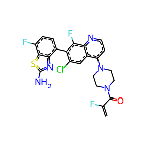 C=C(F)C(=O)N1CCN(c2ccnc3c(F)c(-c4ccc(F)c5sc(N)nc45)c(Cl)cc23)CC1